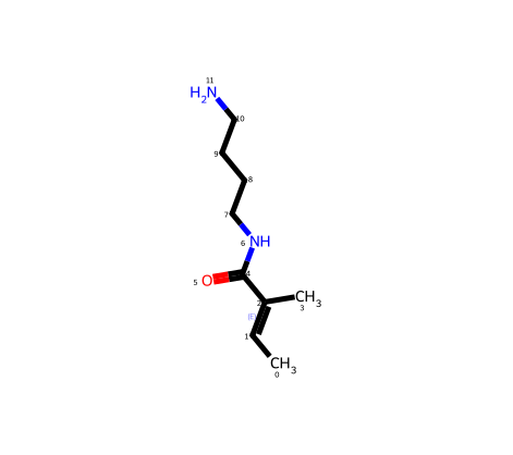 C/C=C(\C)C(=O)NCCCCN